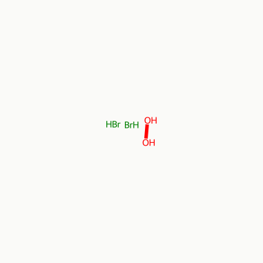 Br.Br.OO